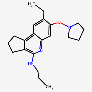 CCCNc1nc2cc(ON3CCCC3)c(CC)cc2c2c1CCC2